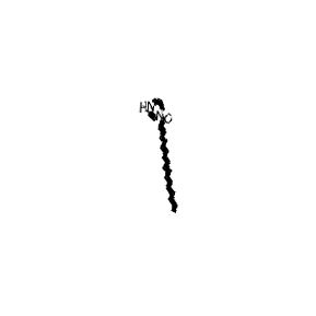 CCCCCCCCC=CCCCCCCCC(=O)N1CCCNCC1